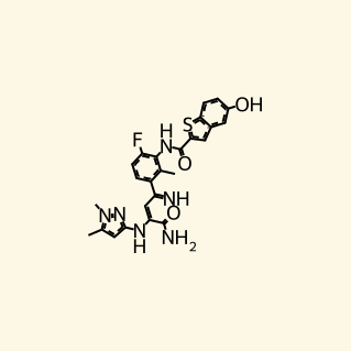 Cc1c(C(=N)/C=C(/Nc2cc(C)n(C)n2)C(N)=O)ccc(F)c1NC(=O)c1cc2cc(O)ccc2s1